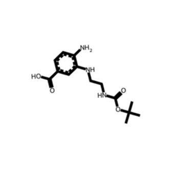 CC(C)(C)OC(=O)NCCNc1cc(C(=O)O)ccc1N